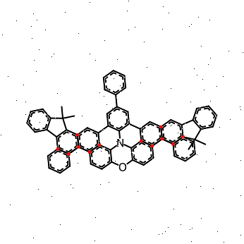 CC1(C)c2ccccc2-c2ccc(-c3ccc4c(c3)N(c3c(-c5ccc(-c6ccccc6)cc5)cc(-c5ccccc5)cc3-c3ccc(-c5ccccc5)cc3)c3cc(-c5ccc6c(c5)C(C)(C)c5ccccc5-6)ccc3O4)cc21